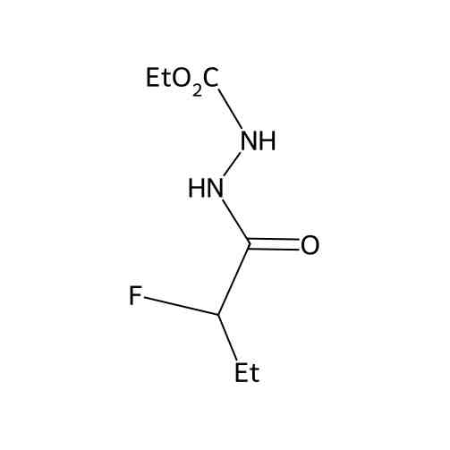 CCOC(=O)NNC(=O)C(F)CC